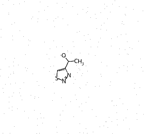 CC([O])c1csnn1